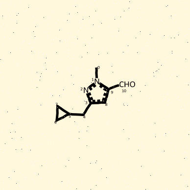 Cn1nc(CC2CC2)cc1C=O